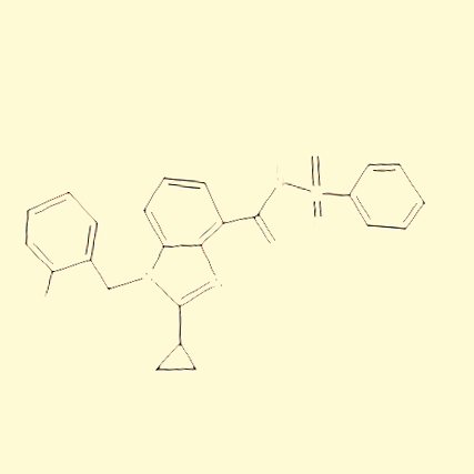 O=C(NS(=O)(=O)c1ccccc1)c1cccc2c1nc(C1CC1)n2Cc1ccccc1F